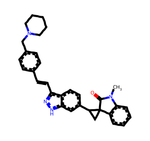 CN1C(=O)C2(CC2c2ccc3c(/C=C/c4ccc(CN5CCCCC5)cc4)n[nH]c3c2)c2ccccc21